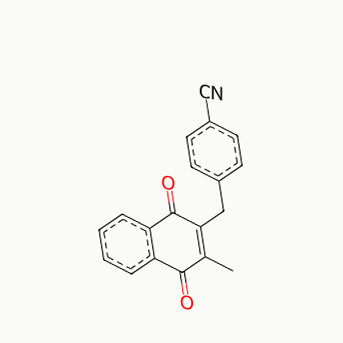 CC1=C(Cc2ccc(C#N)cc2)C(=O)c2ccccc2C1=O